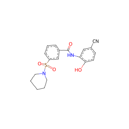 N#Cc1ccc(O)c(NC(=O)c2cccc(S(=O)(=O)N3CCCCC3)c2)c1